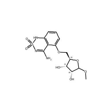 COC1O[C@H](COc2cccc3c2C(N)=NS(=O)(=O)N3)[C@@H](O)[C@H]1O